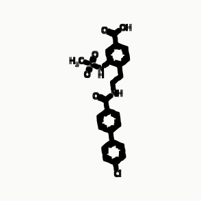 CS(=O)(=O)Nc1cc(C(=O)O)ccc1CCNC(=O)c1ccc(-c2ccc(Cl)cc2)cc1